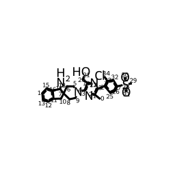 Cc1nc(N2CCC3(CC2)Cc2ccccc2[C@H]3N)c(CO)nc1-c1ccc(S(C)(=O)=O)cc1Cl